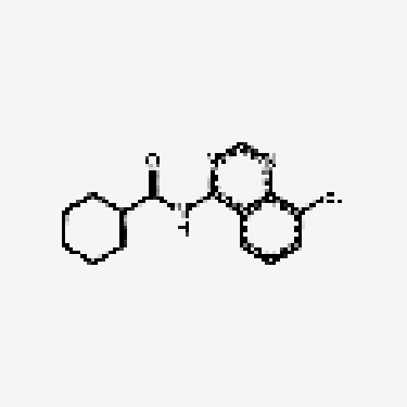 CCc1cccc2c(NC(=O)C3CCCCC3)ncnc12